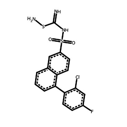 N=C(NS(=O)(=O)c1ccc2c(-c3ccc(F)cc3Cl)cccc2c1)SN